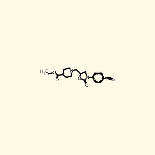 CCOC(=O)C1CCN(CC2CN(c3ccc(C#N)cc3)C(=O)O2)CC1